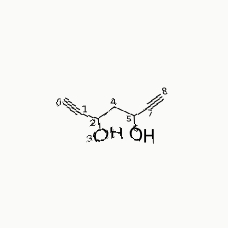 C#CC(O)CC(O)C#C